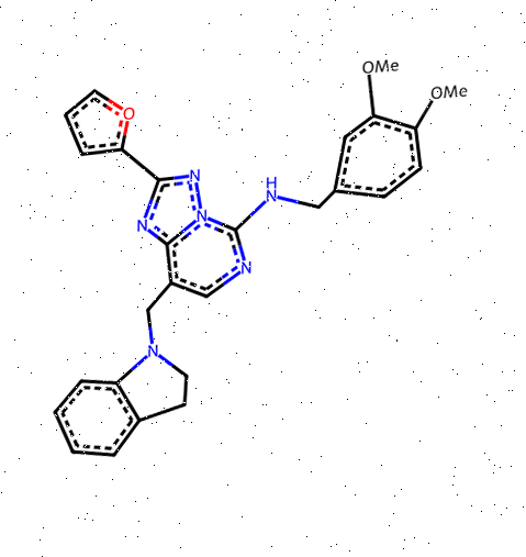 COc1ccc(CNc2ncc(CN3CCc4ccccc43)c3nc(-c4ccco4)nn23)cc1OC